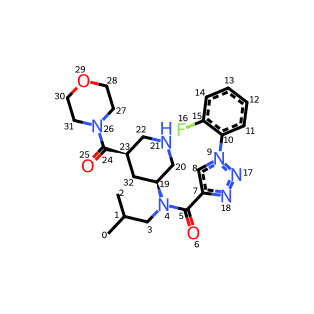 CC(C)CN(C(=O)c1cn(-c2ccccc2F)nn1)[C@@H]1CNC[C@H](C(=O)N2CCOCC2)C1